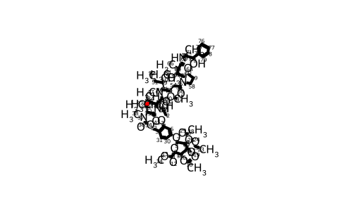 C#CCOc1cc(OC2OC(C(=O)OC)[C@@H](OC(C)=O)[C@H](OC(C)=O)[C@H]2OC(C)=O)ccc1COC(=O)N(C)[C@H](C(=O)N[C@H](C(=O)N(C)[C@@H](C(C)CC)[C@@H](CC(=O)N1CCC[C@H]1[C@H](OC)[C@@H](C)C(=O)N[C@H](C)[C@@H](O)c1ccccc1)OC)C(C)C)C(C)C